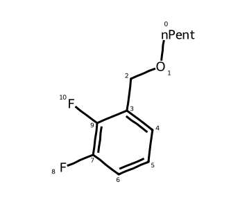 CCCCCOCc1cccc(F)c1F